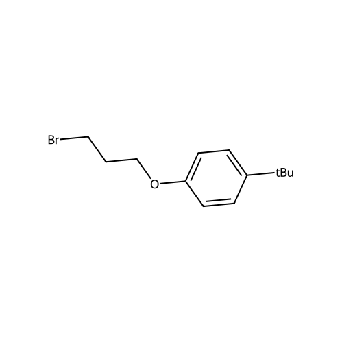 CC(C)(C)c1ccc(OCCCBr)cc1